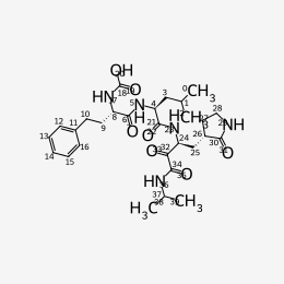 CC(C)C[C@H](NC(=O)[C@H](CCc1ccccc1)NC(=O)O)C(=O)N[C@@H](C[C@@H]1CCNC1=O)C(=O)C(=O)NC(C)C